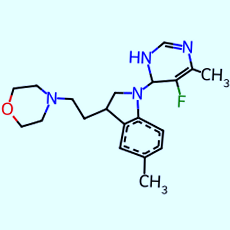 CC1=C(F)C(N2CC(CCN3CCOCC3)c3cc(C)ccc32)NC=N1